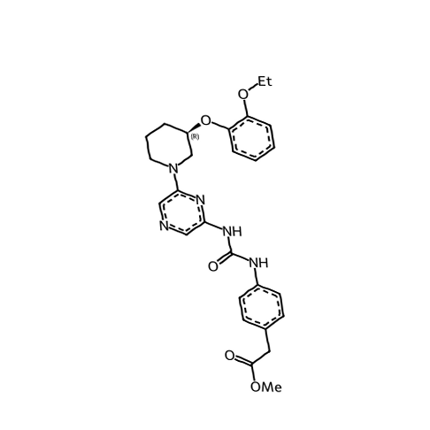 CCOc1ccccc1O[C@@H]1CCCN(c2cncc(NC(=O)Nc3ccc(CC(=O)OC)cc3)n2)C1